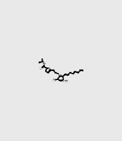 CCCCCCCCC1[C@@H](CCCC2=CCC(C(=O)OC(C)C)S2)C(Cl)C[C@H]1O